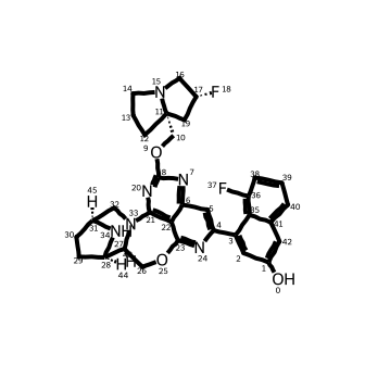 Oc1cc(-c2cc3nc(OC[C@]45CCCN4C[C@H](F)C5)nc4c3c(n2)OC[C@@H]2[C@H]3CC[C@@H](CN42)N3)c2c(F)cccc2c1